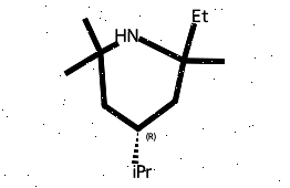 CCC1(C)C[C@H](C(C)C)CC(C)(C)N1